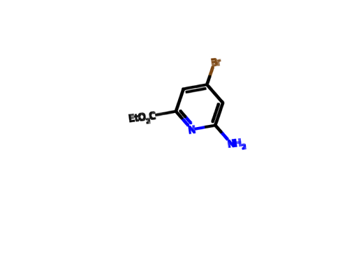 CCOC(=O)c1cc(Br)cc(N)n1